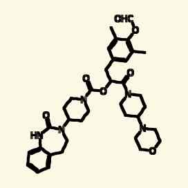 Cc1cc(CC(OC(=O)N2CCC(N3CCc4ccccc4NC3=O)CC2)C(=O)N2CCC(N3CCOCC3)CC2)cc(C)c1OC=O